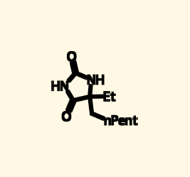 CCCCCCC1(CC)NC(=O)NC1=O